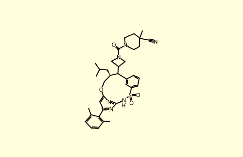 Cc1cccc(C)c1-c1cc2nc(n1)NS(=O)(=O)c1cccc(c1)C(C1CN(C(=O)N3CCC(C)(C#N)CC3)C1)[C@H](CC(C)C)CO2